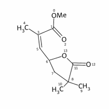 COC(=O)C(C)=CC1CC(C)(C)C(=O)O1